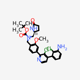 COc1cc(-c2nccc(-c3cccc(N)c3Cl)c2Cl)ccc1CN(C[C@@H]1CCC(=O)N1)C(=O)OC(C)(C)C